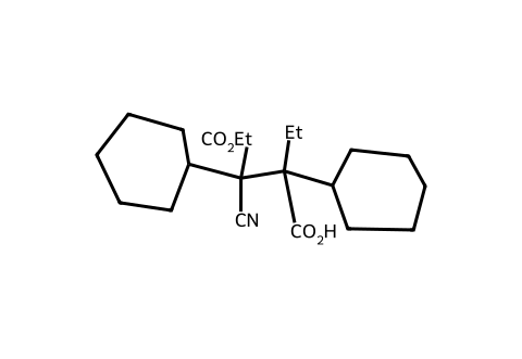 CCOC(=O)C(C#N)(C1CCCCC1)C(CC)(C(=O)O)C1CCCCC1